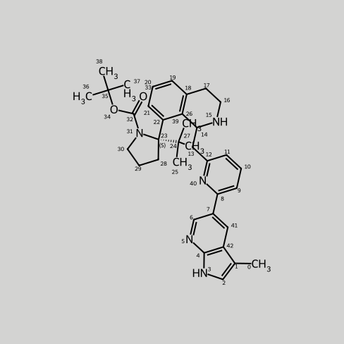 Cc1c[nH]c2ncc(-c3cccc(CC4NCCc5cccc([C@@]6(C(C)(C)C)CCCN6C(=O)OC(C)(C)C)c54)n3)cc12